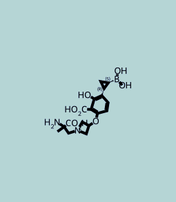 CC(N)(CN1CC(Oc2ccc([C@@H]3C[C@@H]3B(O)O)c(O)c2C(=O)O)C1)C(=O)O